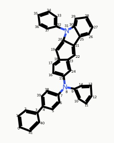 c1ccc(-c2ccc(N(c3ccccc3)c3ccc4cc5c(cc4c3)c3ccccc3n5-c3ccccc3)cc2)cc1